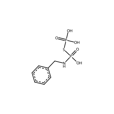 O=P(O)(O)SP(=O)(O)NCc1ccccc1